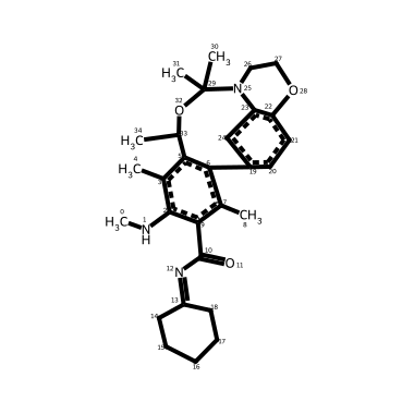 CNc1c(C)c2c(c(C)c1C(=O)N=C1CCCCC1)-c1ccc3c(c1)N(CCO3)C(C)(C)OC2C